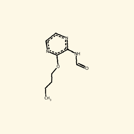 CCCCOc1nccnc1NC=O